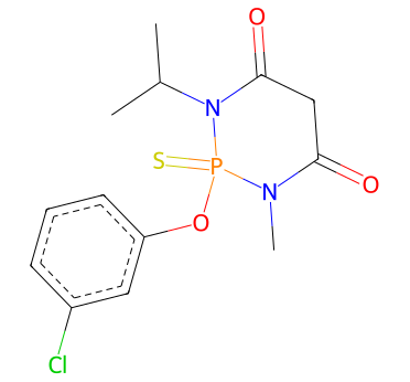 CC(C)N1C(=O)CC(=O)N(C)P1(=S)Oc1cccc(Cl)c1